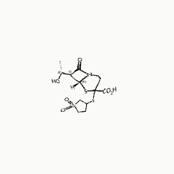 C[C@@H](O)[C@H]1C(=O)N2CC(SC3CCS(=O)(=O)C3)(C(=O)O)S[C@H]12